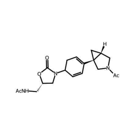 CC(=O)NC[C@H]1CN(C2C=CC([C@@]34C[C@@H]3CN(C(C)=O)C4)=CC2)C(=O)O1